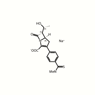 CNC(=S)c1ccc(C2=C(C(=O)[O-])N3C(=O)[C@H]([C@@H](C)O)[C@H]3C2)cc1.[Na+]